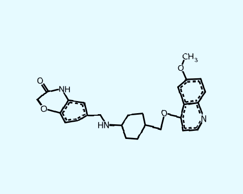 COc1ccc2nccc(OCC3CCC(NCc4ccc5c(c4)NC(=O)CO5)CC3)c2c1